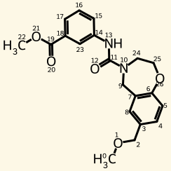 COCc1ccc2c(c1)CN(C(=O)Nc1cccc(C(=O)OC)c1)CCO2